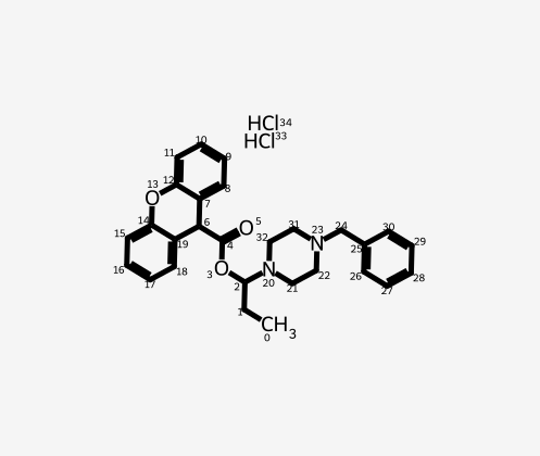 CCC(OC(=O)C1c2ccccc2Oc2ccccc21)N1CCN(Cc2ccccc2)CC1.Cl.Cl